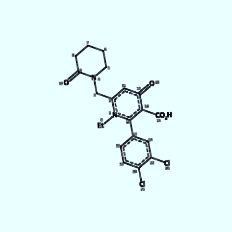 CCn1c(CN2CCCCC2=O)cc(=O)c(C(=O)O)c1-c1ccc(Cl)c(Cl)c1